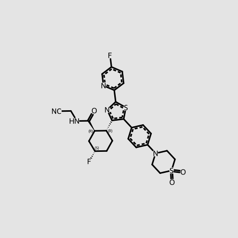 N#CCNC(=O)[C@@H]1C[C@@H](F)CC[C@H]1c1nc(-c2ccc(F)cn2)sc1-c1ccc(N2CCS(=O)(=O)CC2)cc1